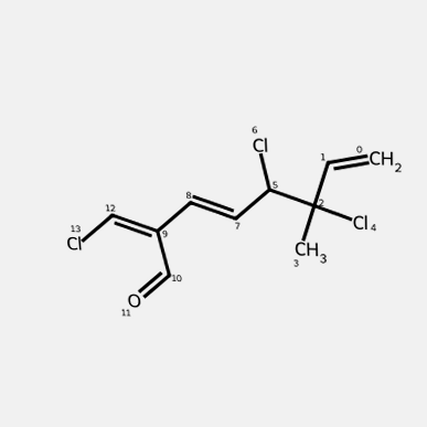 C=CC(C)(Cl)C(Cl)/C=C/C(C=O)=C/Cl